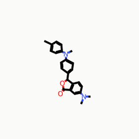 Cc1ccc(N(C)c2ccc(C3OC(=O)c4cc(N(C)C)ccc43)cc2)cc1